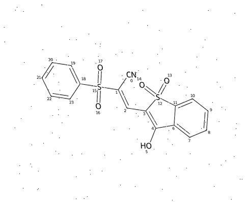 N#CC(=CC1=C(O)c2ccccc2S1(=O)=O)S(=O)(=O)c1ccccc1